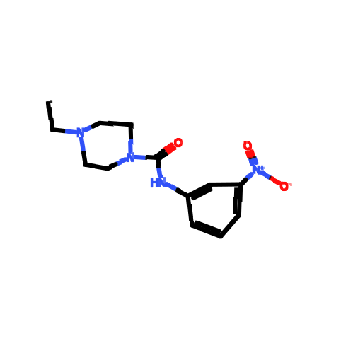 [CH2]CN1CCN(C(=O)Nc2cccc([N+](=O)[O-])c2)CC1